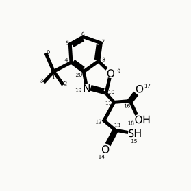 CC(C)(C)c1cccc2oc(C(CC(=O)S)C(=O)O)nc12